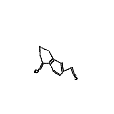 O=C1CCCc2cc(C=S)ccc21